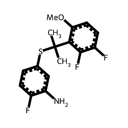 COc1ccc(F)c(F)c1C(C)(C)Sc1ccc(F)c(N)c1